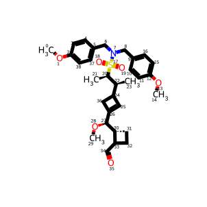 COc1ccc(CN(Cc2ccc(OC)cc2)S(=O)(=O)[C@H](C)[C@@H](C)C2C=C([C@H](OC)[C@@H]3CCC3C=O)C2)cc1